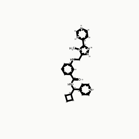 Cn1c(CNc2cccc(C(=O)NC(c3ccncc3)C3CCC3)c2)nnc1-c1ccncn1